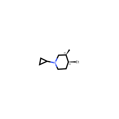 CC[C@H]1CCN(C2CC2)C[C@H]1C